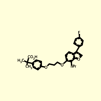 CCCc1c(OCCCOc2ccc(C(C)(C)C(=O)O)cc2)ccc2c(-c3ccc(F)cc3)coc12